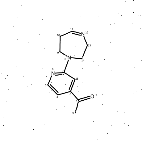 CC(=O)c1ccnc(N2CCC=NCC2)c1